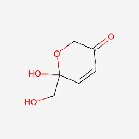 O=C1C=CC(O)(CO)OC1